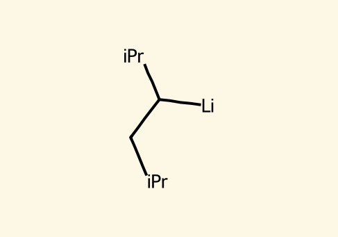 [Li][CH](CC(C)C)C(C)C